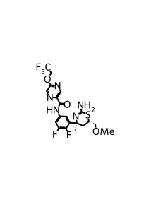 COC[C@@H]1C[C@@](C)(c2cc(NC(=O)c3cnc(OCC(F)(F)F)cn3)cc(F)c2F)N=C(N)S1